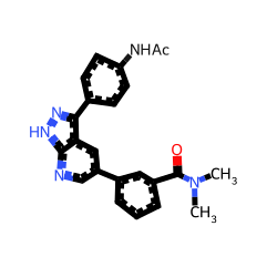 CC(=O)Nc1ccc(-c2n[nH]c3ncc(-c4cccc(C(=O)N(C)C)c4)cc23)cc1